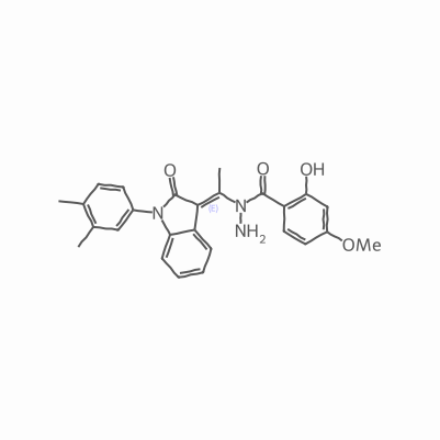 COc1ccc(C(=O)N(N)/C(C)=C2/C(=O)N(c3ccc(C)c(C)c3)c3ccccc32)c(O)c1